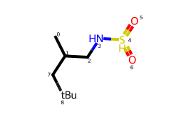 CC(CN[SH](=O)=O)CC(C)(C)C